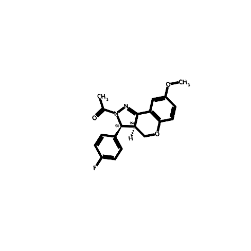 COc1ccc2c(c1)C1=NN(C(C)=O)[C@H](c3ccc(F)cc3)[C@@H]1CO2